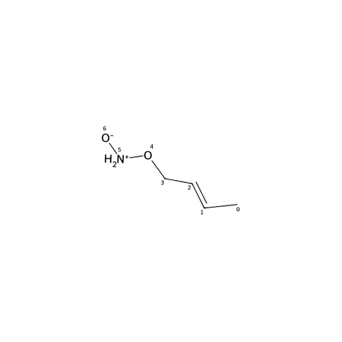 CC=CCO[NH2+][O-]